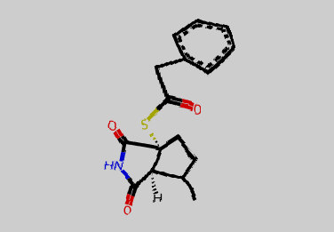 CC1CC[C@]2(SC(=O)Cc3ccccc3)C(=O)NC(=O)[C@H]12